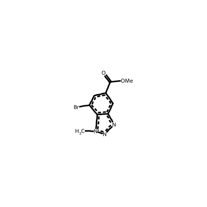 COC(=O)c1cc(Br)c2c(c1)nnn2C